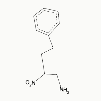 NCC(CCc1ccccc1)[N+](=O)[O-]